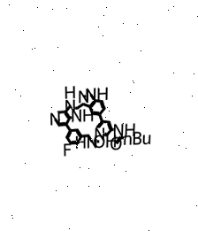 CCCCC(=O)Nc1cncc(-c2ccc3[nH]nc(C4Nc5cncc(-c6cc(F)cc(CNO)c6)c5N4)c3c2)c1